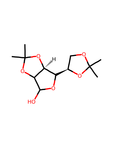 CC1(C)OC2C(O)OC([C@H]3COC(C)(C)O3)[C@@H]2O1